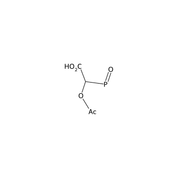 CC(=O)OC(P=O)C(=O)O